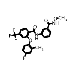 CONC(=O)c1cccc(NC(=O)c2ccc(C(F)(F)F)cc2Oc2ccc(F)cc2C)c1